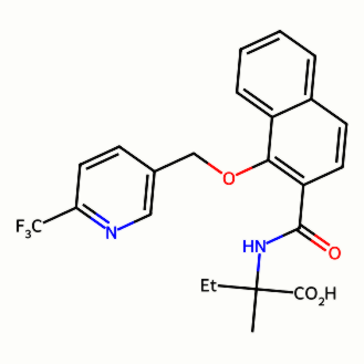 CCC(C)(NC(=O)c1ccc2ccccc2c1OCc1ccc(C(F)(F)F)nc1)C(=O)O